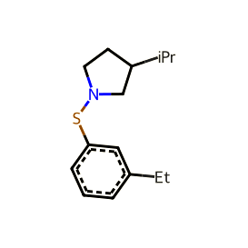 CCc1cccc(SN2CCC(C(C)C)C2)c1